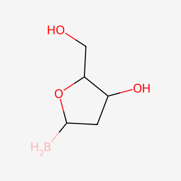 BC1CC(O)C(CO)O1